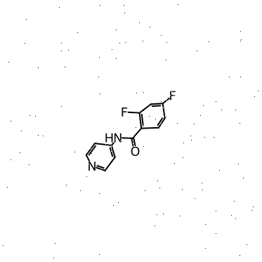 O=C(Nc1ccncc1)c1ccc(F)cc1F